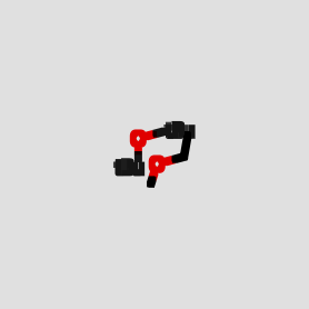 CC(C)(C)OC(C)(C)C.CCOC